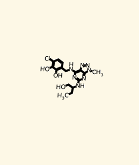 CCC(CO)Nc1nc(NCc2ccc(Cl)c(O)c2O)c2nnn(C)c2n1